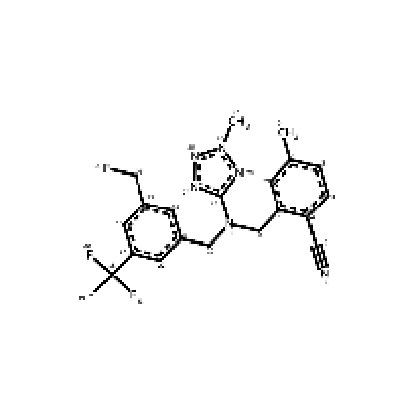 Cc1ccc(C#N)c(CN(Cc2cc(CF)cc(C(F)(F)F)c2)c2nnn(C)n2)c1